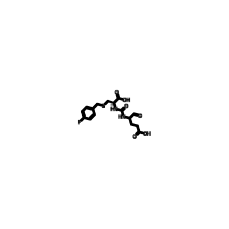 O=CC(CCC(=O)O)NC(=O)N[C@@H](CSCc1ccc(F)cc1)C(=O)O